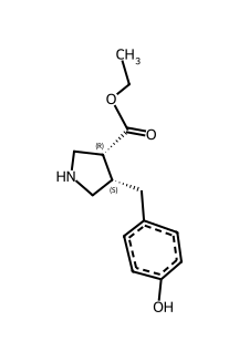 CCOC(=O)[C@H]1CNC[C@H]1Cc1ccc(O)cc1